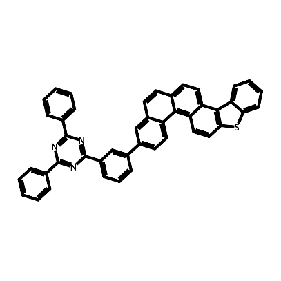 c1ccc(-c2nc(-c3ccccc3)nc(-c3cccc(-c4ccc5c(ccc6ccc7c(ccc8sc9ccccc9c87)c65)c4)c3)n2)cc1